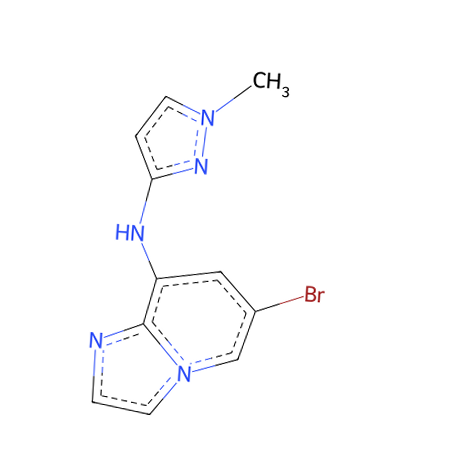 Cn1ccc(Nc2cc(Br)cn3ccnc23)n1